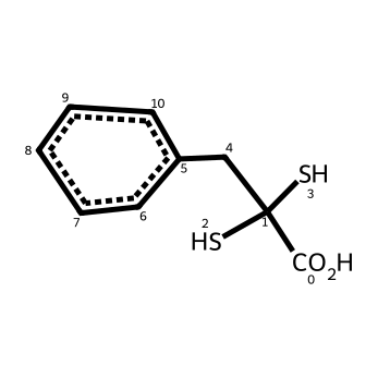 O=C(O)C(S)(S)Cc1ccccc1